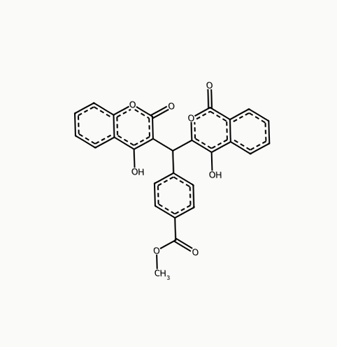 COC(=O)c1ccc(C(c2oc(=O)c3ccccc3c2O)c2c(O)c3ccccc3oc2=O)cc1